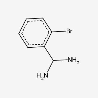 NC(N)c1ccccc1Br